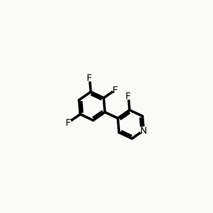 Fc1cc(F)c(F)c(-c2ccncc2F)c1